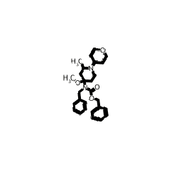 COC1(N(Cc2ccccc2)C(=O)OCc2ccccc2)CCN(C2CCOCC2)C(C)C1